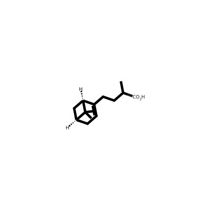 CC(CCC1=CC[C@H]2C[C@@H]1C2(C)C)C(=O)O